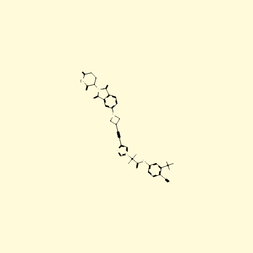 CC(C)(C(=O)Nc1ccc(C#N)c(C(F)(F)F)c1)n1cnc(C#CC2CN(c3ccc4c(c3)C(=O)N(C3CCC(=O)NC3=O)C4=O)C2)c1